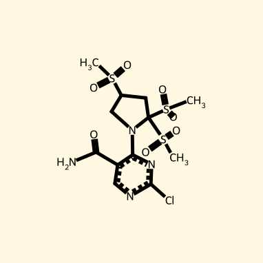 CS(=O)(=O)C1CN(c2nc(Cl)ncc2C(N)=O)C(S(C)(=O)=O)(S(C)(=O)=O)C1